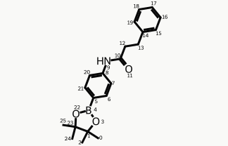 CC1(C)OB(c2ccc(NC(=O)CCc3ccccc3)cc2)OC1(C)C